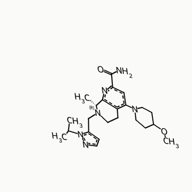 COC1CCN(c2cc(C(N)=O)nc3c2CCN(Cc2ccnn2C(C)C)[C@@H]3C)CC1